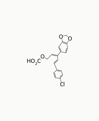 O=C(O)OCC=C(C=Cc1ccc(Cl)cc1)c1ccc2c(c1)OCO2